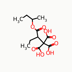 CCC(C)OC(=O)C(CC)C(C(=O)O)(C(=O)O)C(=O)O